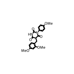 COc1ccc(N2C(=O)NC(=O)C(Cc3ccc(OC)cc3OC)C2=O)cc1